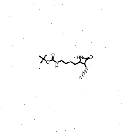 CC(C)(C)OC(=O)NCCSCC1NC(=O)C1N=[N+]=[N-]